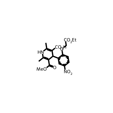 CCOC(=O)COc1ccc([N+](=O)[O-])cc1C1C(C(=O)O)=C(C)NC(C)=C1C(=O)OC